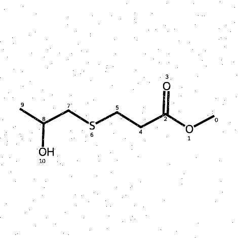 COC(=O)CCSCC(C)O